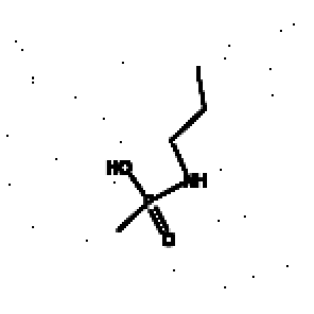 CP(=O)(O)NCCI